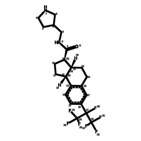 O=C(NCC1CCNC1)[C@@H]1CC[C@H]2c3ccc(C(F)(C(F)(F)F)C(F)(F)F)cc3CC[C@@H]12